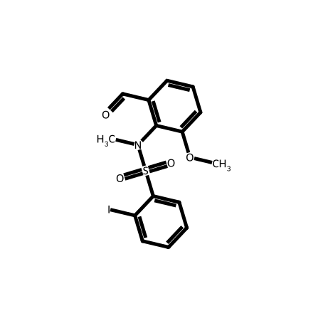 COc1cccc(C=O)c1N(C)S(=O)(=O)c1ccccc1I